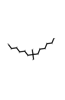 CCCCCCC(C)(C)CCCCCC